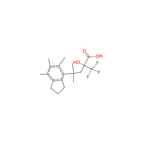 Cc1c(C)c2c(c(C(C)(C)CC(O)(C(=O)O)C(F)(F)F)c1C)CCC2